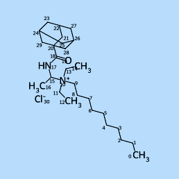 CCCCCCCCCC[N+](CC)(CC)C(C)NC(=O)C12CC3CC(CC(C3)C1)C2.[Cl-]